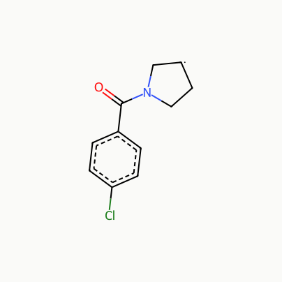 O=C(c1ccc(Cl)cc1)N1C[CH]CC1